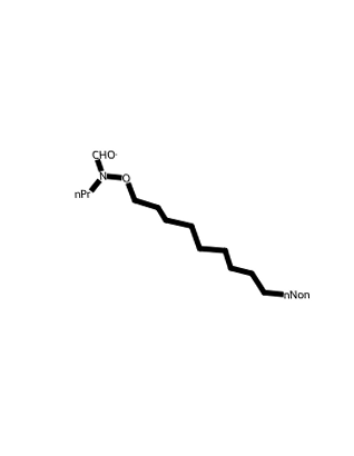 CCCCCCCCCCCCCCCCCCON([C]=O)CCC